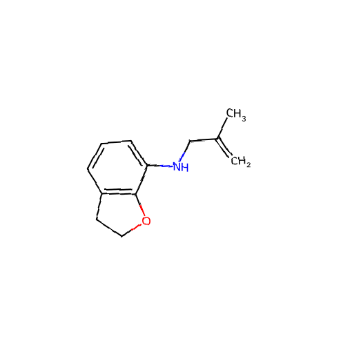 C=C(C)CNc1cccc2c1OCC2